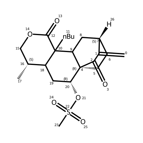 C=C1C(=O)[C@]23CC[C@H]1CC2C1(CCCC)C(=O)OC[C@@H](C)C1C[C@H]3OS(C)(=O)=O